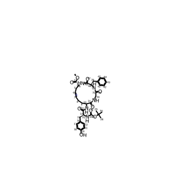 COC(=O)[C@H]1C/C=C\CCC(NC(=O)[C@H](Cc2ccc(O)cc2)NC(=O)OC(C)(C)C)C(=O)NCC(=O)N[C@H](Cc2ccccc2)C(=O)N1